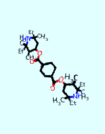 CCC1(C)CC(OC(=O)C2CCC(C(=O)OC3CC(C)(CC)NC(C)(CC)C3C)CC2)C(C)C(C)(CC)N1